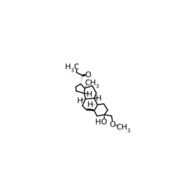 CCC(=O)[C@H]1CC[C@H]2[C@@H]3CC=C4C[C@@](O)(COC)CC[C@@H]4[C@H]3CC[C@]12C